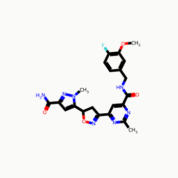 COc1cc(CNC(=O)c2cc(C3=NOC(c4cc(C(N)=O)nn4C)C3)nc(C)n2)ccc1F